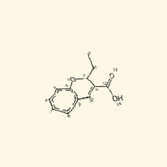 CCC1Oc2ccccc2C=C1C(=O)O